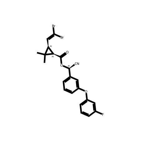 CC1(C)[C@H](C(=O)O[C@@H](C#N)c2cccc(Oc3cccc(F)c3)c2)[C@@H]1C=C(Br)Br